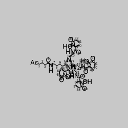 CC(=O)CCCC(=O)NCCCCC(CN(CCNC(=O)c1cccc(=O)n1O)CCN(CCNC(=O)c1cccc(=O)n1O)CCNC(=O)c1cccc(=O)n1O)NC(=O)c1cccc(=O)n1O